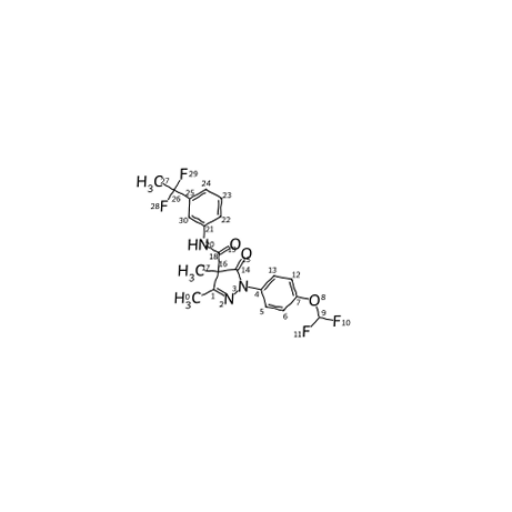 CC1=NN(c2ccc(OC(F)F)cc2)C(=O)C1(C)C(=O)Nc1cccc(C(C)(F)F)c1